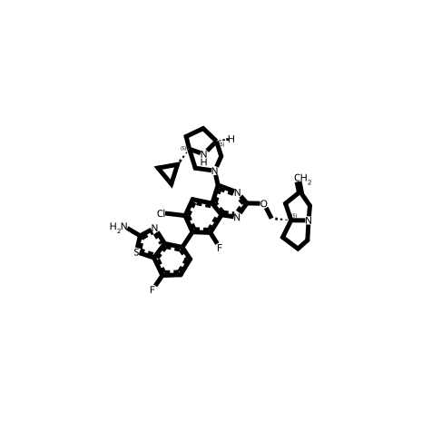 C=C1CN2CCC[C@@]2(COc2nc(N3C[C@@H]4CC[C@](C5CC5)(C3)N4)c3cc(Cl)c(-c4ccc(F)c5sc(N)nc45)c(F)c3n2)C1